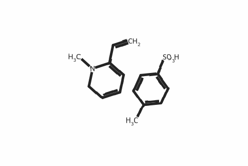 C=CC1=CC=CCN1C.Cc1ccc(S(=O)(=O)O)cc1